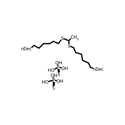 CCCCCCCCCCCCCCCCSC(C)SCCCCCCCCCCCCCCCC.OP(O)(O)=S.OP(O)(O)=S